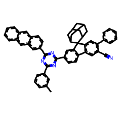 Cc1cccc(-c2nc(-c3ccc4c(c3)C3(c5cc(-c6ccccc6)c(C#N)cc5-4)C4CC5CC(C4)CC3C5)nc(-c3ccc4cc5ccccc5cc4c3)n2)c1